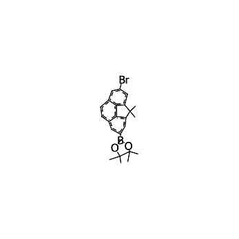 CC1(C)c2cc(Br)cc3ccc4cc(B5OC(C)(C)C(C)(C)O5)cc1c4c23